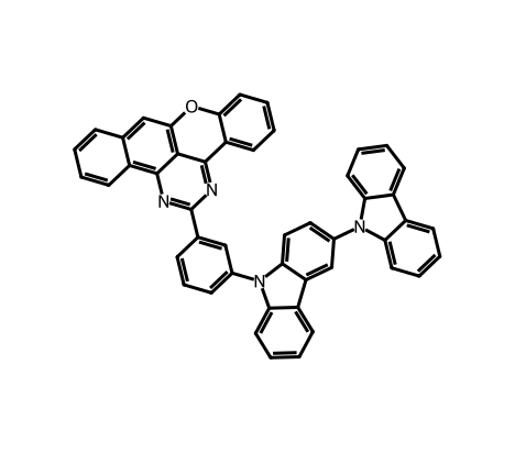 c1cc(-c2nc3c4c(cc5ccccc5c4n2)Oc2ccccc2-3)cc(-n2c3ccccc3c3cc(-n4c5ccccc5c5ccccc54)ccc32)c1